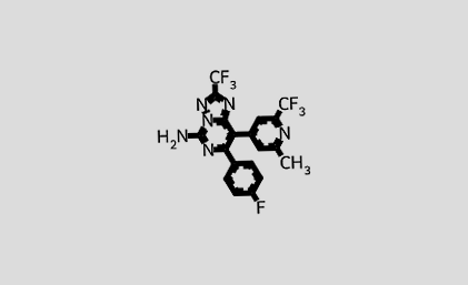 Cc1cc(-c2c(-c3ccc(F)cc3)nc(N)n3nc(C(F)(F)F)nc23)cc(C(F)(F)F)n1